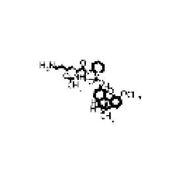 COc1ccc2c3c1O[C@H]1C(OC(=O)N4CCCCC4NC(=O)[C@H](CCCCN)NC(C)=O)=CC[C@H]4[C@@H](C2)N(C)CC[C@]314